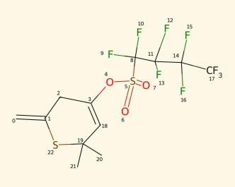 C=C1CC(OS(=O)(=O)C(F)(F)C(F)(F)C(F)(F)C(F)(F)F)=CC(C)(C)S1